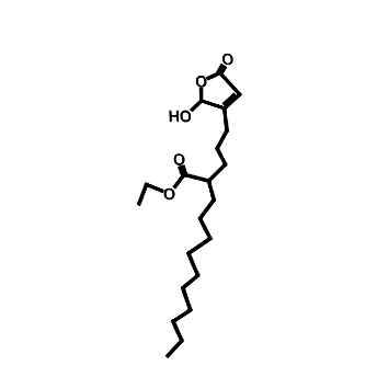 CCCCCCCCCCC(CCCC1=CC(=O)OC1O)C(=O)OCC